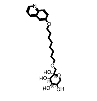 O[C@@H]1[C@H](O)CO[C@](O)(COCCCCCCCCOc2ccc3ncccc3c2)[C@H]1O